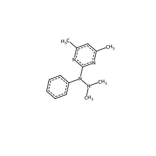 Cc1cc(C)nc(N(c2ccccc2)N(C)C)n1